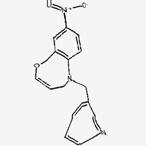 O=[N+]([O-])c1ccc2c(c1)OC=CN2Cc1cccnc1